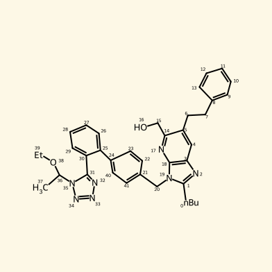 CCCCc1nc2cc(CCc3ccccc3)c(CO)nc2n1Cc1ccc(-c2ccccc2-c2nnnn2C(C)OCC)cc1